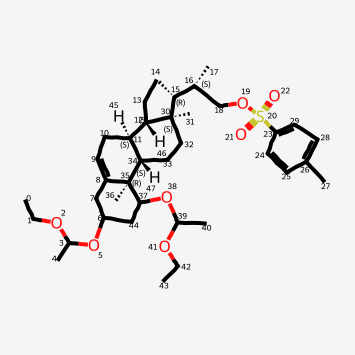 CCOC(C)OC1CC2=CC[C@H]3[C@@H]4CC[C@H]([C@H](C)COS(=O)(=O)c5ccc(C)cc5)[C@@]4(C)CC[C@@H]3[C@@]2(C)C(OC(C)OCC)C1